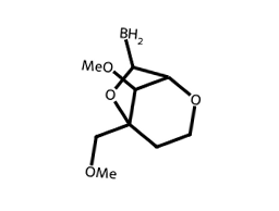 BC1OC2(COC)CCOC1C2OC